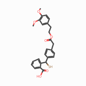 COc1ccc(CCOC(=O)Cc2ccc(C(S)c3ccccc3C(=O)O)cc2)cc1OC